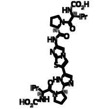 CC(C)[C@H](NC(=O)O)C(=O)N1CCC[C@H]1C(=O)Nc1cn2cc(-c3cnc([C@@H]4CCCN4C(=O)[C@@H](NC(=O)O)C(C)C)[nH]3)sc2n1